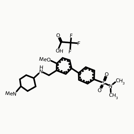 CNC1CCC(NCc2cc(-c3ccc(S(=O)(=O)N(C)C)cc3)ccc2OC)CC1.O=C(O)C(F)(F)F